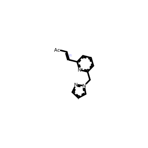 CC(=O)/C=C/c1cccc(Cn2c[c]cn2)n1